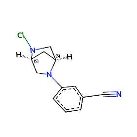 N#Cc1cccc(N2C[C@@H]3C[C@H]2CN3Cl)c1